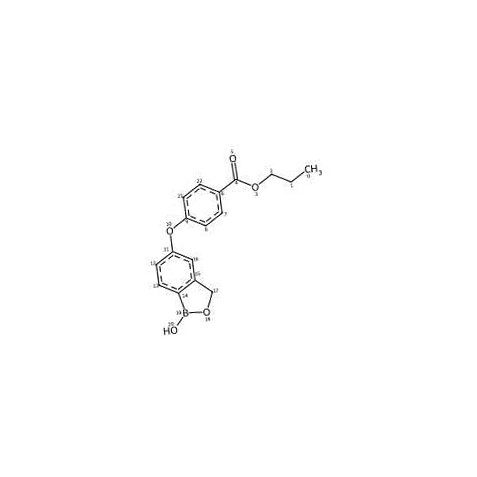 CCCOC(=O)c1ccc(Oc2ccc3c(c2)COB3O)cc1